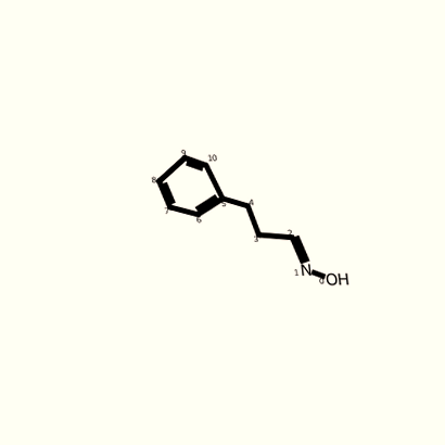 ON=CCCc1ccccc1